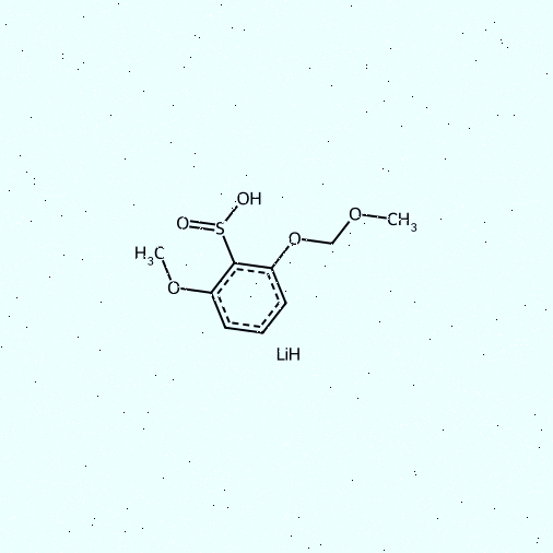 COCOc1cccc(OC)c1S(=O)O.[LiH]